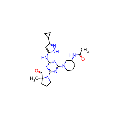 CC(=O)N[C@H]1CCCN(c2nc(Nc3cc(C4CC4)n[nH]3)nc(N3CCC[C@@]3(C)C=O)n2)C1